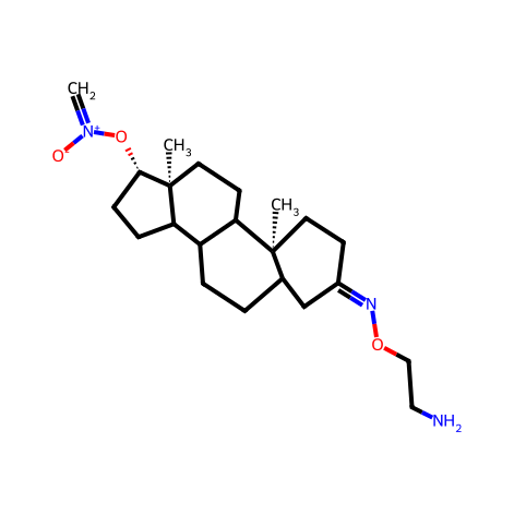 C=[N+]([O-])O[C@H]1CCC2C3CCC4CC(=NOCCN)CC[C@]4(C)C3CC[C@@]21C